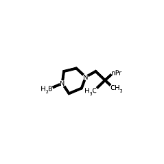 BN1CCN(CC(C)(C)CCC)CC1